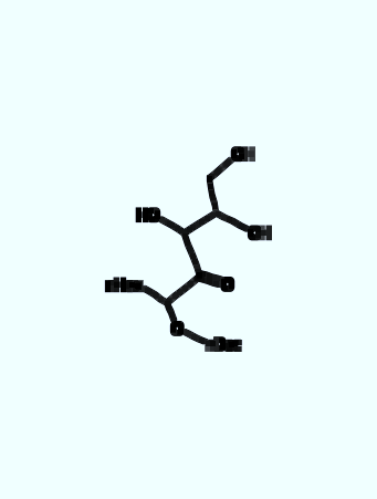 CCCCCCCCCCOC(CCCCCC)C(=O)C(O)C(O)CO